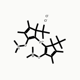 CC1=C(C)C(C)(C(C)(C)C)[C]([Zr+2][C]2=C(O[SiH](C)C)C(C)=C(C)C2(C)C(C)(C)C)=C1O[SiH](C)C.[Cl-].[Cl-]